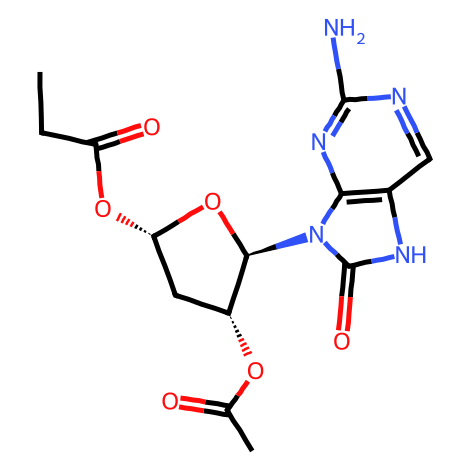 CCC(=O)O[C@H]1C[C@@H](OC(C)=O)[C@H](n2c(=O)[nH]c3cnc(N)nc32)O1